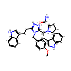 COc1ccc(Cn2c(CCc3c[nH]c4ccccc34)nnc2[C@@H](Cc2c[nH]c3ccccc23)N2CCC[C@H]2C(N)=O)cc1